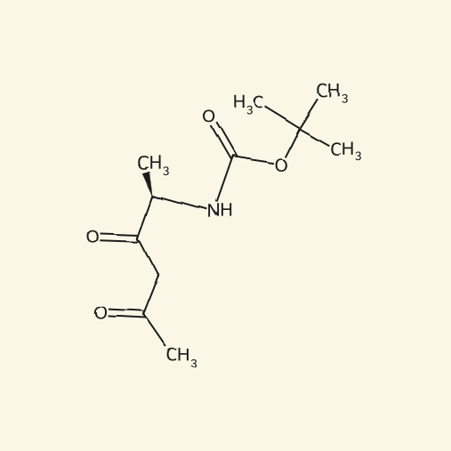 CC(=O)CC(=O)[C@@H](C)NC(=O)OC(C)(C)C